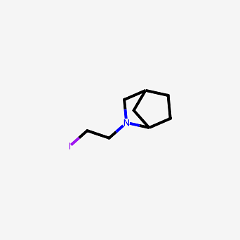 ICCN1CC2CCC1C2